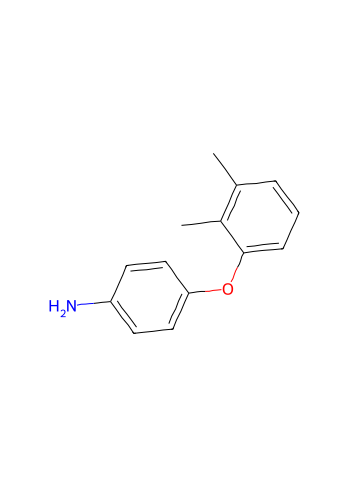 Cc1cccc(Oc2ccc(N)cc2)c1C